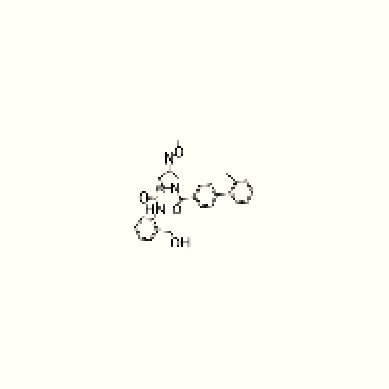 CON=C1C[C@@H](C(=O)Nc2ccccc2CO)N(C(=O)c2ccc(-c3ccccc3C)cc2)C1